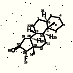 C[C@]12CCCC[C@@H]1CC[C@@H]1[C@@H]2CC[C@]2(C)[C@H](F)C(=O)C[C@@H]12